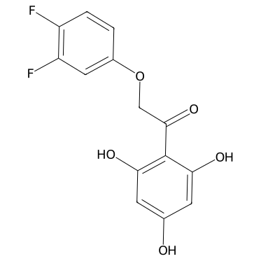 O=C(COc1ccc(F)c(F)c1)c1c(O)cc(O)cc1O